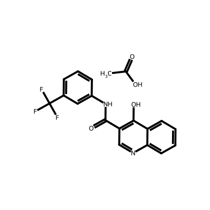 CC(=O)O.O=C(Nc1cccc(C(F)(F)F)c1)c1cnc2ccccc2c1O